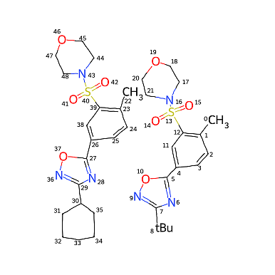 Cc1ccc(-c2nc(C(C)(C)C)no2)cc1S(=O)(=O)N1CCOCC1.Cc1ccc(-c2nc(C3CCCCC3)no2)cc1S(=O)(=O)N1CCOCC1